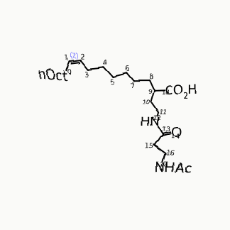 CCCCCCCC/C=C\CCCCCCC(CCNC(=O)CCNC(C)=O)C(=O)O